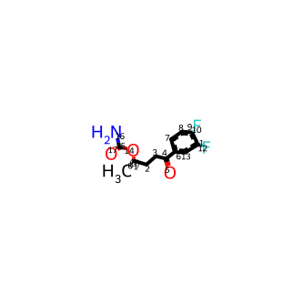 C[C@@H](CCC(=O)c1ccc(F)c(F)c1)OC(N)=O